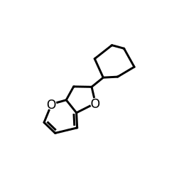 C1=COC2CC(C3CCCCC3)OC2=C1